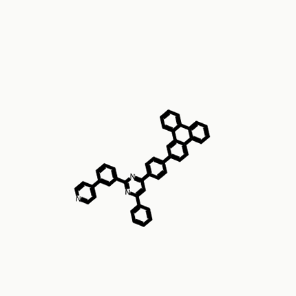 c1ccc(-c2cc(-c3ccc(-c4ccc5c6ccccc6c6ccccc6c5c4)cc3)nc(-c3cccc(-c4ccncc4)c3)n2)cc1